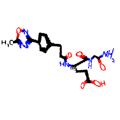 Cc1nc(-c2ccc(CCC(=O)N[C@@H](CCC(=O)O)C(=O)NCC(N)=O)cc2)no1